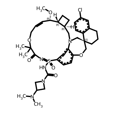 CO[C@H]1C=CCOC(C)(C)C(=O)N=S(=O)(NC(=O)N2CC(N(C)C)C2)c2ccc3c(c2)N(C[C@@H]2CC[C@H]21)C[C@@]1(CCCc2cc(Cl)ccc21)CO3